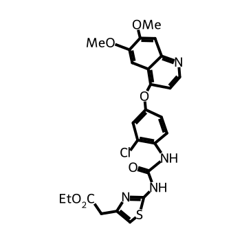 CCOC(=O)Cc1csc(NC(=O)Nc2ccc(Oc3ccnc4cc(OC)c(OC)cc34)cc2Cl)n1